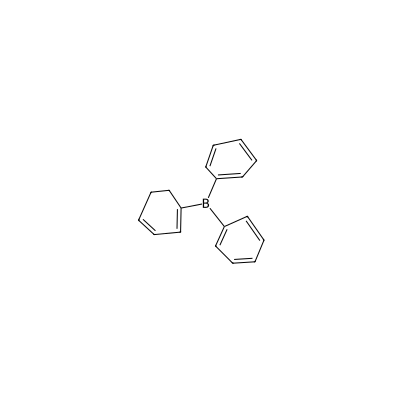 C1=CCCC(B(c2ccccc2)c2ccccc2)=C1